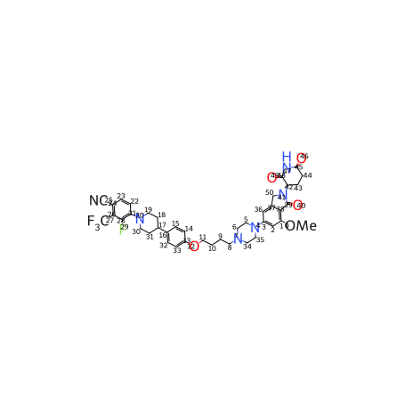 COc1cc(N2CCN(CCCCOc3ccc(C4CCN(c5ccc(C#N)c(C(F)(F)F)c5F)CC4)cc3)CC2)cc2c1C(=O)N(C1CCC(=O)NC1=O)C2